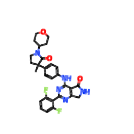 CC1(c2ccc(Nc3nc(-c4c(F)cccc4F)nc4c3C(=O)NC4)cc2)CCN(C2CCOCC2)C1=O